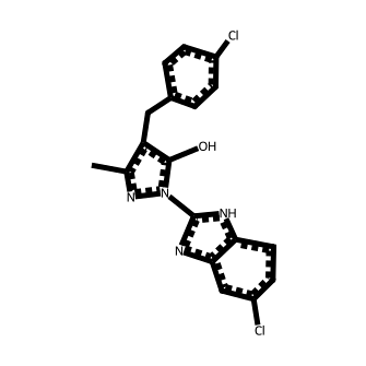 Cc1nn(-c2nc3cc(Cl)ccc3[nH]2)c(O)c1Cc1ccc(Cl)cc1